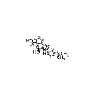 CN(C)Cc1cccc(C(=O)N[C@H]2Cc3cccc(C(=O)O)c3OB2O)c1